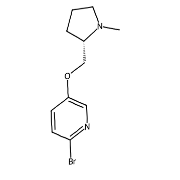 CN1CCC[C@H]1COc1ccc(Br)nc1